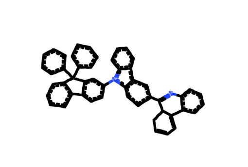 C1=CCC2C(=C1)c1ccccc1N=C2c1ccc2c(c1)c1ccccc1n2-c1ccc2c(c1)C(c1ccccc1)(c1ccccc1)c1ccccc1-2